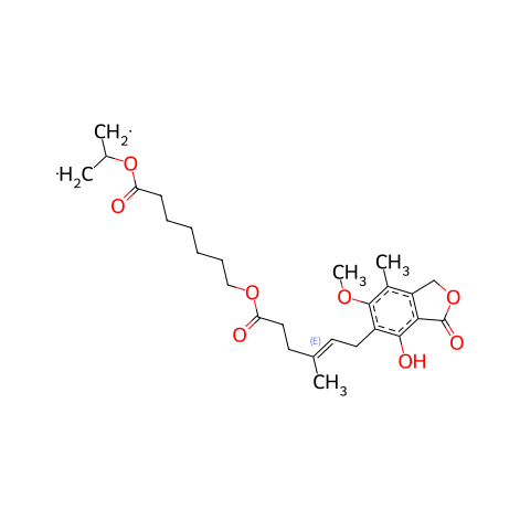 [CH2]C([CH2])OC(=O)CCCCCCOC(=O)CC/C(C)=C/Cc1c(O)c2c(c(C)c1OC)COC2=O